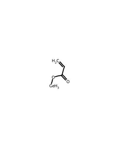 C=CC(=O)[O][GeH3]